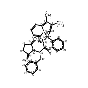 CCC1=CC=CC2=C(C)C(C)=C3[N+]12[N+]3(NC(=O)[C@H](Cc1ccccc1)N1C(=O)CCC1=O)c1ccccc1